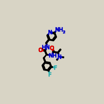 CC(C(=O)N[C@@H](Cc1ccc(F)c(F)c1)C(=O)NCc1ccc(N)nc1)N(C)C